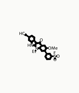 C#Cc1ccc2c(c1)[nH]c1c2c(=O)c2cc(OC)c(-c3cccc(S(=O)(=O)F)c3)cc2n1CC